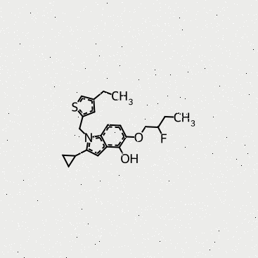 CCc1csc(Cn2c(C3CC3)cc3c(O)c(OCC(F)CC)ccc32)c1